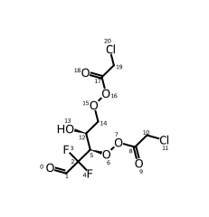 O=CC(F)(F)[C@H](OOC(=O)CCl)[C@@H](O)COOC(=O)CCl